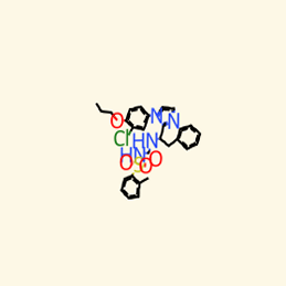 CCCOc1ccc(-n2ccnc2C(Cc2ccccc2)NC(=O)NS(=O)(=O)c2ccccc2C)cc1Cl